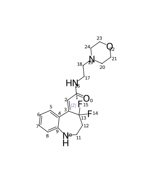 O=C(/C=C1/c2ccccc2NCCC1(F)F)NCCN1CCOCC1